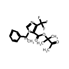 CC(=O)C(C)(C)OC(=O)c1c(C(F)(F)F)ncn1[C@H](C)c1ccccc1